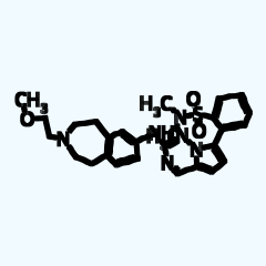 COCCN1CCc2ccc(Nc3ncc4ccc(-c5ccccc5S(=O)(=O)N(C)C)n4n3)cc2CC1